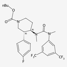 CCCCOC(=O)N1CC[C@@H](N(C)C(=O)N(C)c2cc(C(F)(F)F)cc(C(F)(F)F)c2)[C@H](c2ccc(F)cc2)C1